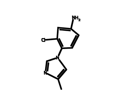 Cc1cn(-c2ccc(N)cc2Cl)cn1